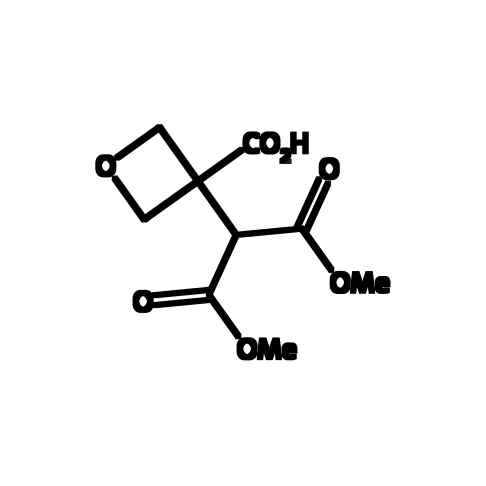 COC(=O)C(C(=O)OC)C1(C(=O)O)COC1